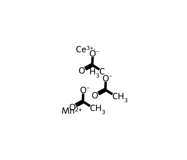 CC(=O)[O-].CC(=O)[O-].CC(=O)[O-].[Ce+3].[Mn+2]